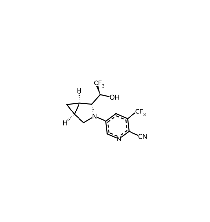 N#Cc1ncc(N2C[C@H]3C[C@H]3[C@@H]2[C@H](O)C(F)(F)F)cc1C(F)(F)F